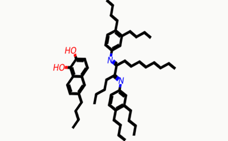 CCCCCCCCC(=Nc1ccc(CCCC)c(CCCC)c1)C(CCCC)=Nc1ccc(CCCC)c(CCCC)c1.CCCCc1ccc2c(O)c(O)ccc2c1